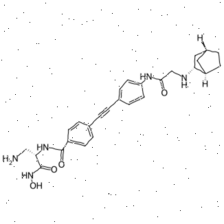 NC[C@H](NC(=O)c1ccc(C#Cc2ccc(NC(=O)CN[C@@H]3C[C@@H]4CC[C@@H]3C4)cc2)cc1)C(=O)NO